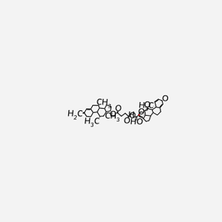 C=C1C=C2C[C@@H](C)C3C(C2CC1)[C@@H](C)C[C@@]1(C)C3CC[C@@H]1OC(=O)CCC(=O)OCC(=O)[C@@]1(O)CCC2C3CCC4=CC(=O)C=C[C@]4(C)C3C(=O)C[C@@]21C